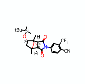 CC12C[C@H](O[Si](C)(C)C(C)(C)C)C(C)(O1)[C@H]1C(=O)N(c3ccc(C#N)c(C(F)(F)F)c3)C(=O)[C@H]12